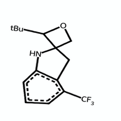 CC(C)(C)C1OCC12Cc1c(cccc1C(F)(F)F)N2